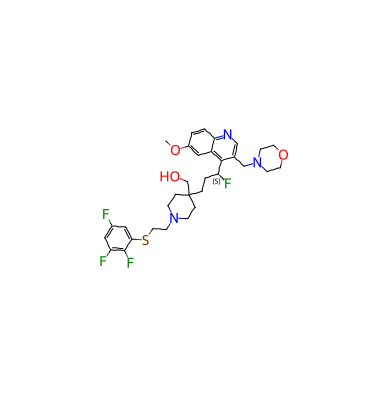 COc1ccc2ncc(CN3CCOCC3)c([C@@H](F)CCC3(CO)CCN(CCSc4cc(F)cc(F)c4F)CC3)c2c1